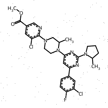 COC(=O)c1cnc(N2CCN(c3cc(-c4ccc(F)c(Cl)c4)nc(N4CCCC4C)n3)C(C)C2)c(Cl)c1